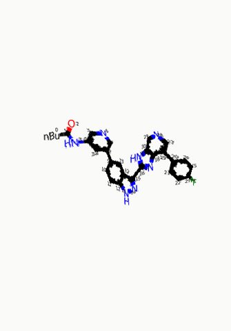 CCCCC(=O)Nc1cncc(-c2ccc3[nH]nc(-c4nc5c(-c6ccc(F)cc6)cncc5[nH]4)c3c2)c1